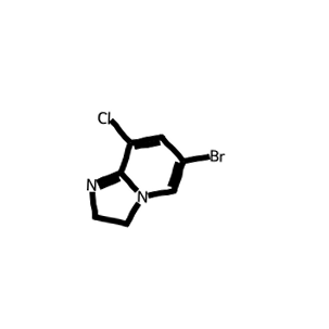 ClC1=CC(Br)=CN2CCN=C12